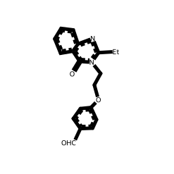 CCc1nc2ccccc2c(=O)n1CCOc1ccc(C=O)cc1